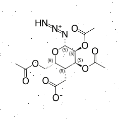 CC(=O)OC[C@@H]1O[C@H](N=[N+]=N)[C@@H](OC(C)=O)[C@@H](OC(C)=O)[C@@H]1CC(=O)[O-]